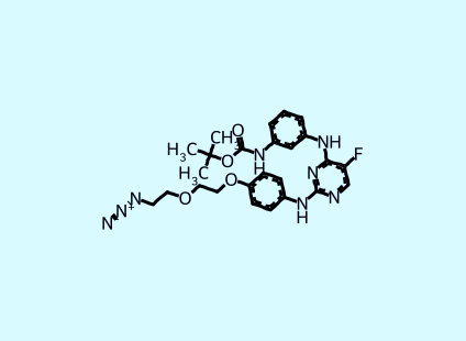 CC(C)(C)OC(=O)Nc1cccc(Nc2nc(Nc3ccc(OCCOCCN=[N+]=[N-])cc3)ncc2F)c1